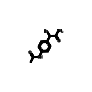 CC(=O)Nc1ccc(C(Br)C(N)=O)cc1